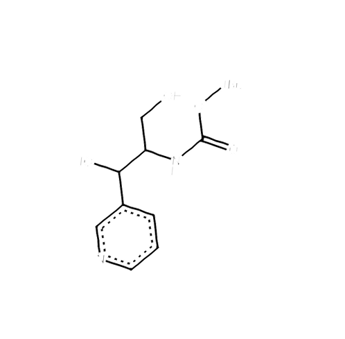 CC(C)(C)OC(=O)NC(CO)C(O)c1cccnc1